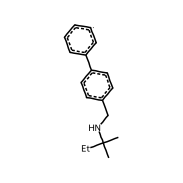 CCC(C)(C)NCc1ccc(-c2c[c]ccc2)cc1